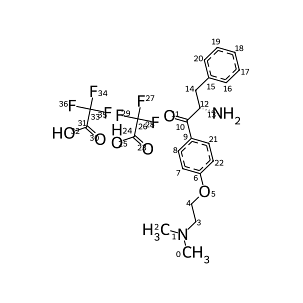 CN(C)CCOc1ccc(C(=O)[C@@H](N)Cc2ccccc2)cc1.O=C(O)C(F)(F)F.O=C(O)C(F)(F)F